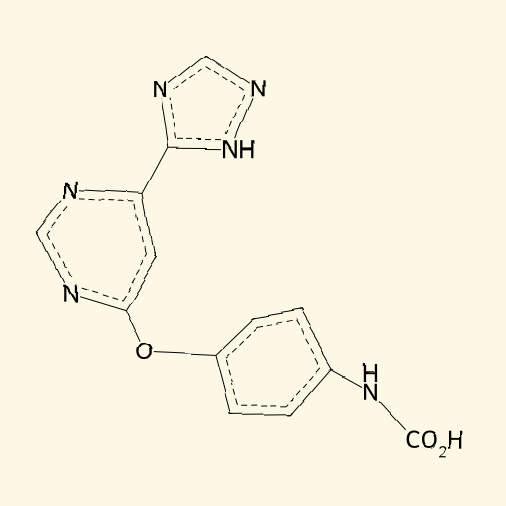 O=C(O)Nc1ccc(Oc2cc(-c3ncn[nH]3)ncn2)cc1